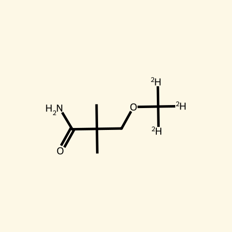 [2H]C([2H])([2H])OCC(C)(C)C(N)=O